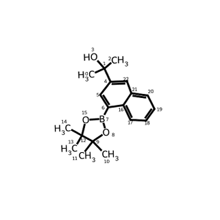 CC(C)(O)c1cc(B2OC(C)(C)C(C)(C)O2)c2ccccc2c1